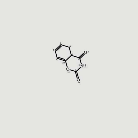 O=C1NC(=O)C2CC=CC=C2O1